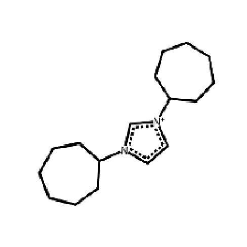 c1c[n+](C2CCCCCC2)cn1C1CCCCCC1